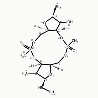 BB[C@@H]1O[C@@H]2COP(C)(=O)O[C@@H]3C(O)[C@H](B)O[C@@H]3COP(C)(=O)O[C@@H]2C1C